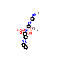 CN=NC1=CC=C(N=Nc2ccc(N=Nc3c(S(=O)(=O)O)cc4cc(-n5nc6ccc7ccccc7c6n5)ccc4c3O)c(OC)c2)CC1